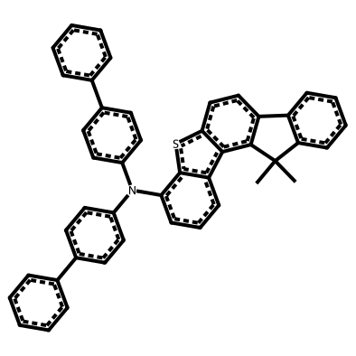 CC1(C)c2ccccc2-c2ccc3sc4c(N(c5ccc(-c6ccccc6)cc5)c5ccc(-c6ccccc6)cc5)cccc4c3c21